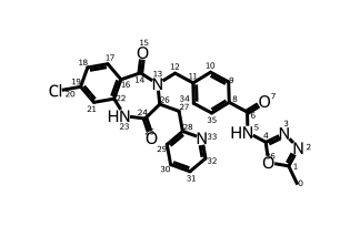 Cc1nnc(NC(=O)c2ccc(CN3C(=O)c4ccc(Cl)cc4NC(=O)C3Cc3ccccn3)cc2)o1